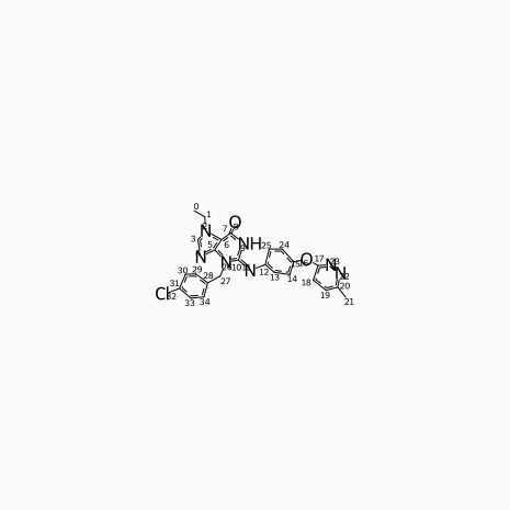 CCn1cnc2c1c(=O)[nH]/c(=N\c1ccc(Oc3ccc(C)nn3)cc1)n2Cc1ccc(Cl)cc1